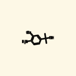 CC(C)(C)c1cc(C(C)(C)O)ccc1N